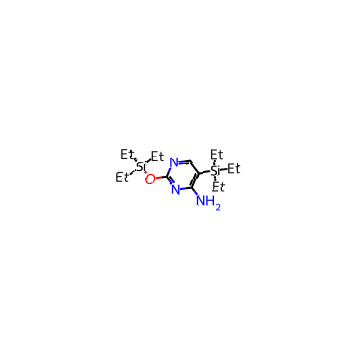 CC[Si](CC)(CC)Oc1ncc([Si](CC)(CC)CC)c(N)n1